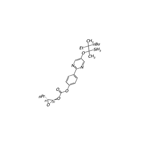 CCCCC(C)(CC)C(C)([SiH3])Oc1cnc(-c2ccc(OC(=O)O[C@H]3O[C@@H]3CCC)cc2)nc1